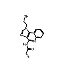 [3H]CC(=O)Nc1nc2ccccc2c2c1ncn2CCO